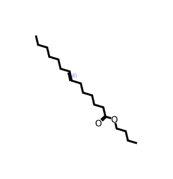 CCCCCC/C=C/CCCCCC(=O)OCCCC